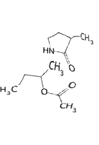 CC1CCNC1=O.CCC(C)OC(C)=O